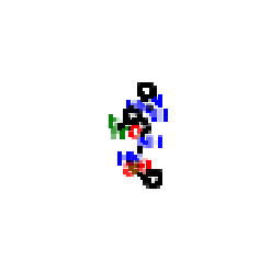 O=C(CC(Nc1nc2ccccc2[nH]1)c1cccc(C(F)(F)F)c1)NCCNS(=O)(=O)Cc1ccccc1